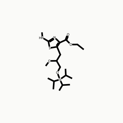 CCOC(=O)c1nc(NC)sc1CC(CO[Si](C(C)C)(C(C)C)C(C)C)OC